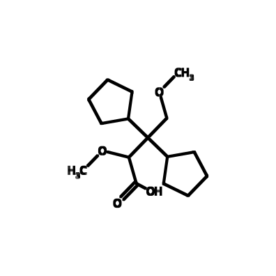 COCC(C1CCCC1)(C1CCCC1)C(OC)C(=O)O